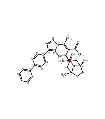 CC(=O)c1c([C@H]2C[C@@H]3CCC(C)(C2)N3C(N)=O)nc2c(-c3ccc(-c4ccccc4)nc3)cnn2c1N